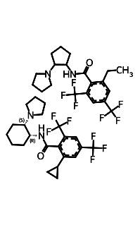 CCc1cc(C(F)(F)F)cc(C(F)(F)F)c1C(=O)NC1CCCC1N1CCCC1.O=C(N[C@@H]1CCCC[C@@H]1N1CCCC1)c1c(C2CC2)cc(C(F)(F)F)cc1C(F)(F)F